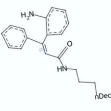 CCCCCCCCCCCCCNC(=O)/C=C(/c1ccccc1)c1ccccc1N